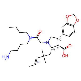 C/C=C/C(C)(C)C[C@H]1[C@H](C(=O)O)[C@@H](c2ccc3c(c2)OCO3)CN1CC(=O)N(CCCC)CCCCN